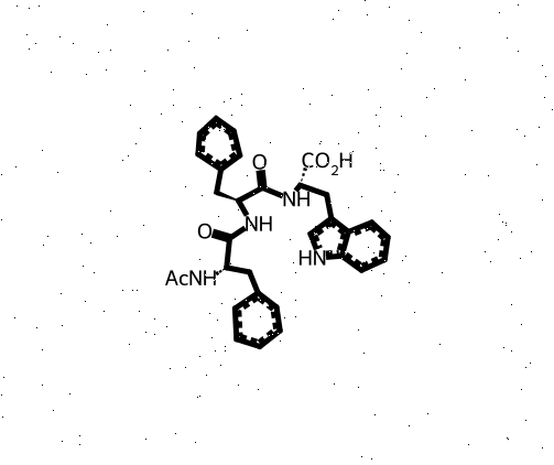 CC(=O)N[C@@H](Cc1ccccc1)C(=O)N[C@@H](Cc1ccccc1)C(=O)N[C@@H](Cc1c[nH]c2ccccc12)C(=O)O